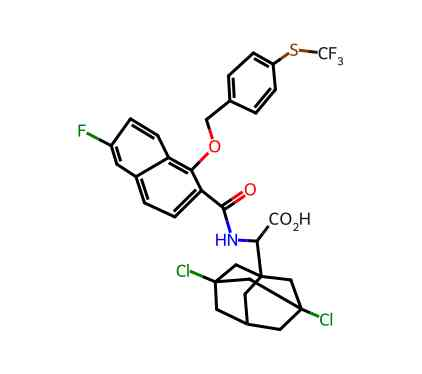 O=C(NC(C(=O)O)C12CC3CC(Cl)(CC(Cl)(C3)C1)C2)c1ccc2cc(F)ccc2c1OCc1ccc(SC(F)(F)F)cc1